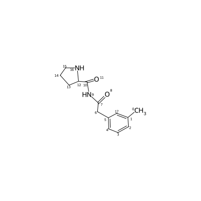 Cc1cccc(CC(=O)NC(=O)C2CCCN2)c1